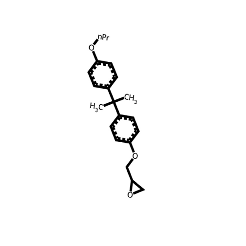 CCCOc1ccc(C(C)(C)c2ccc(OCC3CO3)cc2)cc1